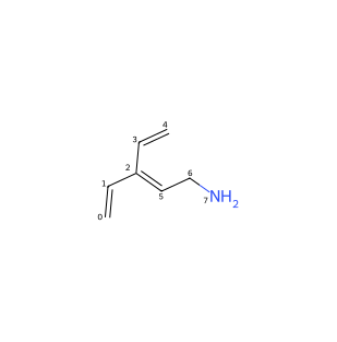 C=CC(C=C)=CCN